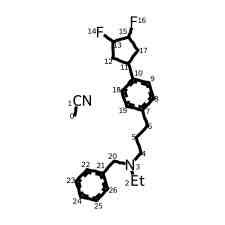 CC#N.CCN(CCCc1ccc(C2CC(F)C(F)C2)cc1)Cc1ccccc1